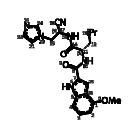 COc1cccc2[nH]c(C(=O)N[C@@H](CC(C)C)C(=O)N[C@H](C#N)Cn3ccnc3)cc12